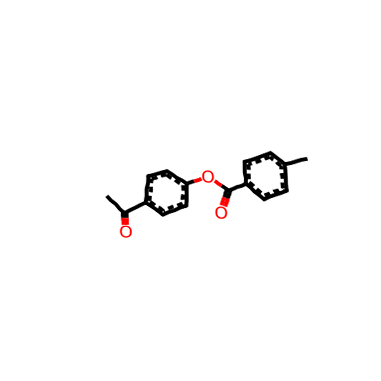 CC(=O)c1ccc(OC(=O)c2ccc(C)cc2)cc1